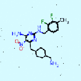 Cc1ccc(CNc2nc(N)c([N+](=O)[O-])c(CC3CCC(CN)CC3)n2)c(F)c1F